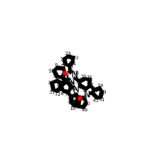 c1ccc(-c2ccc3c4ccccc4n(-c4c(-c5nc(-c6ccccc6)nc(-c6ccccc6)n5)ccc5c6ccccc6n(-c6ccccc6)c45)c3c2)cc1